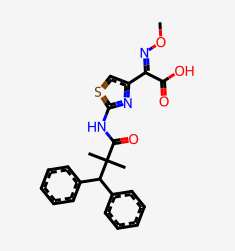 CON=C(C(=O)O)c1csc(NC(=O)C(C)(C)C(c2ccccc2)c2ccccc2)n1